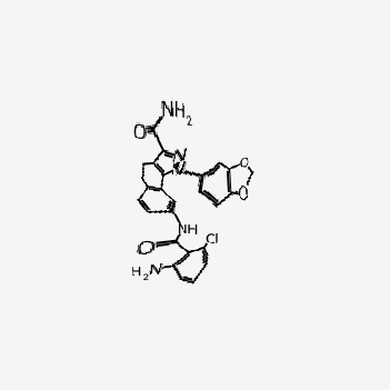 NC(=O)c1nn(-c2ccc3c(c2)OCO3)c2c1CCc1ccc(NC(=O)c3c(N)cccc3Cl)cc1-2